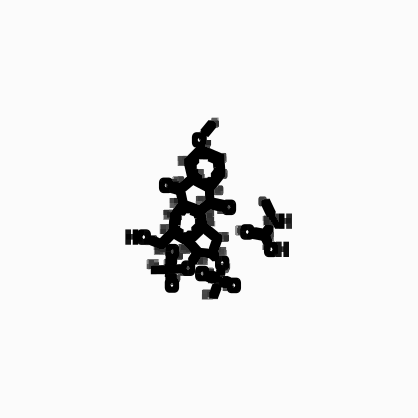 CNC(=O)O.COc1ccc2c(c1)C(=O)c1cc(CO)c3c(c1C2=O)CC(OS(C)(=O)=O)C3OS(C)(=O)=O